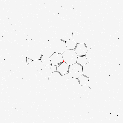 COc1ccc(-c2c(-c3cn(C)nc3OC)[nH]c3ncc4c(c23)n(C2CCC(C)(NC(=O)C3CC3)CC2)c(=O)n4C)cc1